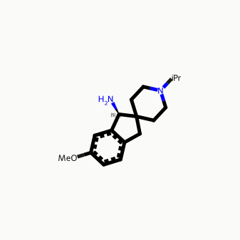 COc1ccc2c(c1)[C@@H](N)C1(CCN(C(C)C)CC1)C2